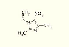 C=Cn1c(C)nc(C)c1[N+](=O)[O-]